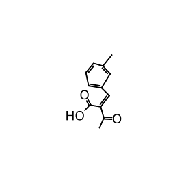 CC(=O)C(=Cc1cccc(C)c1)C(=O)O